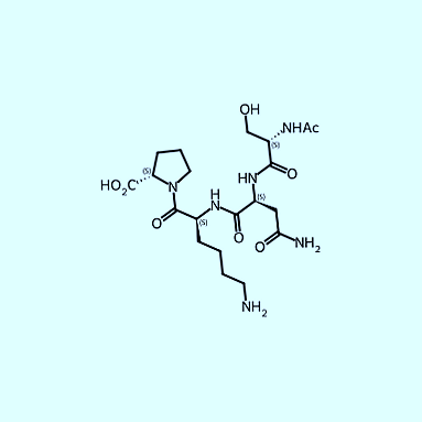 CC(=O)N[C@@H](CO)C(=O)N[C@@H](CC(N)=O)C(=O)N[C@@H](CCCCN)C(=O)N1CCC[C@H]1C(=O)O